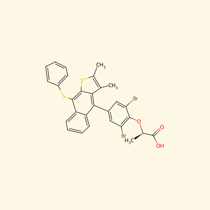 Cc1sc2c(Sc3ccccc3)c3ccccc3c(-c3cc(Br)c(O[C@H](C)C(=O)O)c(Br)c3)c2c1C